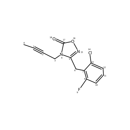 CC#CCn1c(Cc2c(F)cccc2Cl)noc1=O